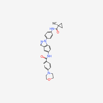 C=C(/C=C\C(=C/C)N1CCOCC1)C(=O)Nc1ccc2c(cnn2-c2ccc(NC(=O)C3(C#N)CC3)cc2)c1